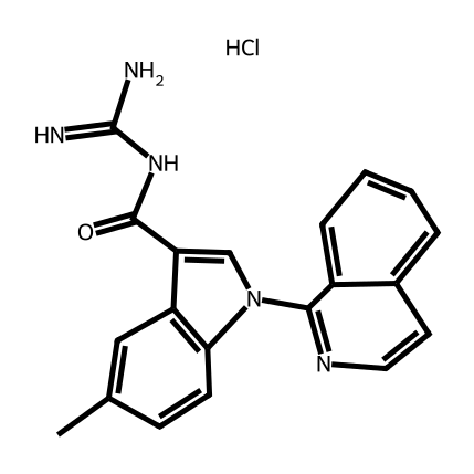 Cc1ccc2c(c1)c(C(=O)NC(=N)N)cn2-c1nccc2ccccc12.Cl